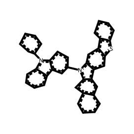 c1ccc(-n2c3ccccc3c3cc(-n4c5cc6ccccc6cc5c5cc6sc7ccccc7c6cc54)ccc32)cc1